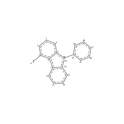 Ic1cccc2c1c1ccccc1p2-c1ccccc1